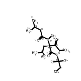 CCC(=O)[C@](CC(C)C)(C(=O)OC(Cl)(Cl)CCl)N(O)C(=O)CC(C)C